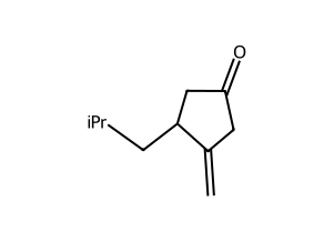 C=C1CC(=O)CC1CC(C)C